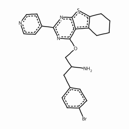 NC(COc1nc(-c2ccncc2)nc2sc3c(c12)CCCC3)Cc1ccc(Br)cc1